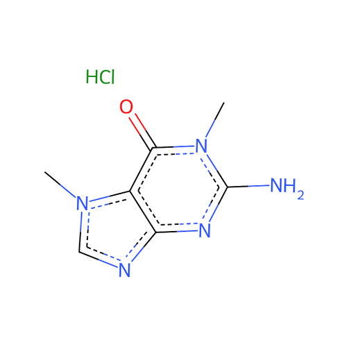 Cl.Cn1c(N)nc2ncn(C)c2c1=O